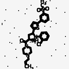 C=CCN1CCN(C(=O)C2CC(c3ccc(-c4cccc(S(C)(=O)=O)c4)s3)N(c3ccccc3Cl)N2)CC1